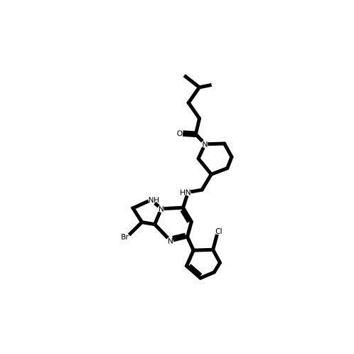 CC(C)CCC(=O)N1CCCC(CNC2=CC(C3C=CCCC3Cl)=NC3C(Br)CNN23)C1